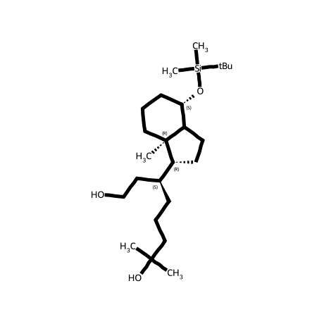 CC(C)(O)CCC[C@@H](CCO)[C@H]1CCC2[C@@H](O[Si](C)(C)C(C)(C)C)CCC[C@@]21C